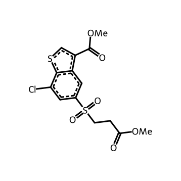 COC(=O)CCS(=O)(=O)c1cc(Cl)c2scc(C(=O)OC)c2c1